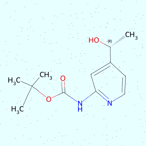 C[C@@H](O)c1ccnc(NC(=O)OC(C)(C)C)c1